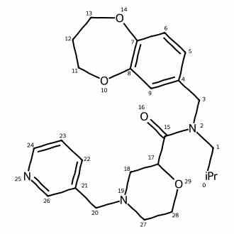 CC(C)CN(Cc1ccc2c(c1)OCCCO2)C(=O)C1CN(Cc2cccnc2)CCO1